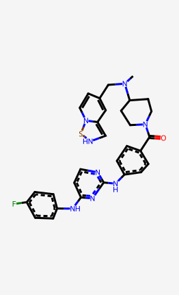 CN(CC1=CC2=CNSN2C=C1)C1CCN(C(=O)c2ccc(Nc3nccc(Nc4ccc(F)cc4)n3)cc2)CC1